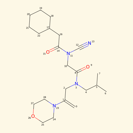 C=C(CN(CC(C)C)C(=O)CN(C#N)C(=O)CC1CCCCC1)N1CCOCC1